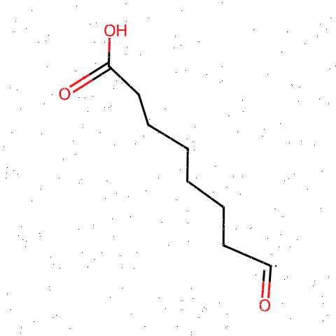 O=[C]CCCCCCC(=O)O